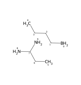 BCCCC.CCC(N)N